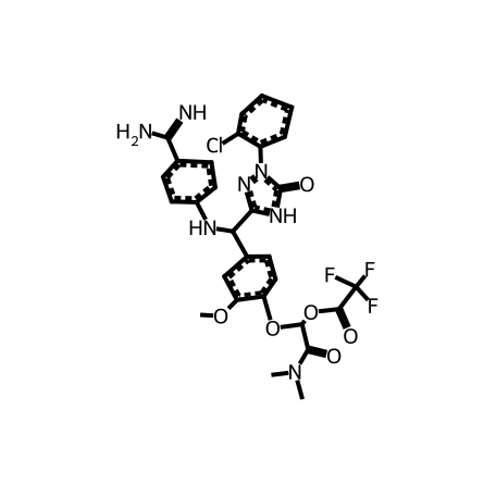 COc1cc(C(Nc2ccc(C(=N)N)cc2)c2nn(-c3ccccc3Cl)c(=O)[nH]2)ccc1OC(OC(=O)C(F)(F)F)C(=O)N(C)C